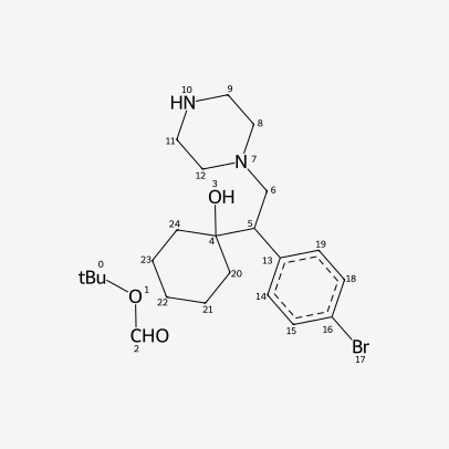 CC(C)(C)OC=O.OC1(C(CN2CCNCC2)c2ccc(Br)cc2)CCCCC1